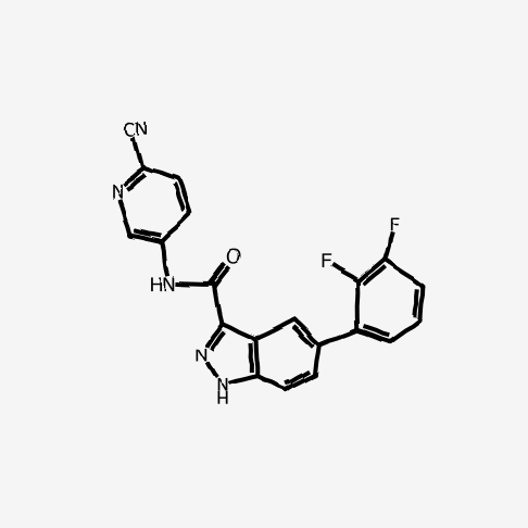 N#Cc1ccc(NC(=O)c2n[nH]c3ccc(-c4cccc(F)c4F)cc23)cn1